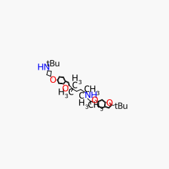 CC(CNC(C)(C)CCC(C)(C)c1cc2ccc(O[C@H]3C[C@H](NC(C)(C)C)C3)cc2o1)Oc1ccc2cc(C(C)(C)C)oc2c1